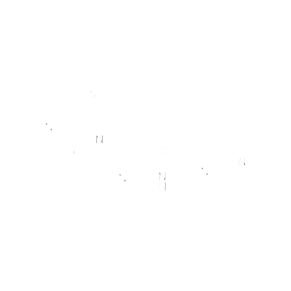 Cc1cc(C#N)nc(C)c1C(=O)NCCC(C)N1CCC(N(Cc2ccsc2)C(=O)CC#N)CC1